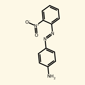 Nc1ccc(/N=N/c2ccccc2[N+](=O)[O-])cc1